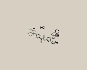 COc1cc(CC(=O)Nc2ccc(C(CC(=O)O)N3CCOCC3)cc2)ccc1NC(=O)Nc1ccccc1C.Cl